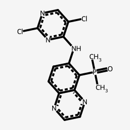 CP(C)(=O)c1c(Nc2nc(Cl)ncc2Cl)ccc2nccnc12